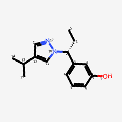 CC[C@H](c1cccc(O)c1)n1cc(C(C)C)cn1